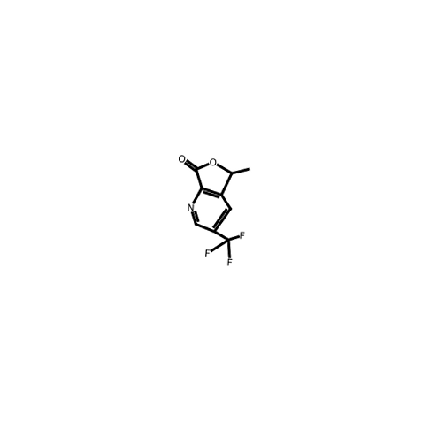 CC1OC(=O)c2ncc(C(F)(F)F)cc21